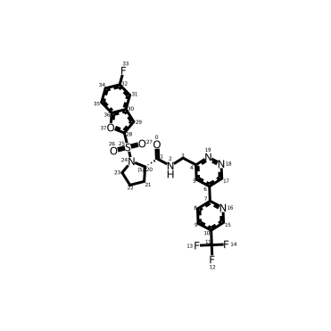 O=C(NCc1cc(-c2ccc(C(F)(F)F)cn2)cnn1)[C@@H]1CCCN1S(=O)(=O)c1cc2cc(F)ccc2o1